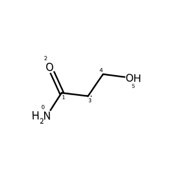 NC(=O)[CH]CO